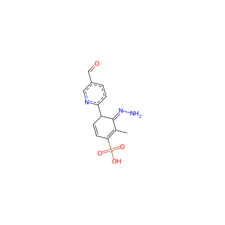 CC1=C(S(=O)(=O)O)C=CC(c2ccc(C=O)cn2)C1=NN